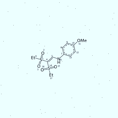 CCS(=O)(=O)C(=CNc1ccc(OC)cc1)S(=O)(=O)CC